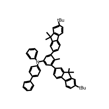 Cc1c(-c2ccc3c(c2)C(C)(C)c2cc(C(C)(C)C)ccc2-3)cc(N(c2ccccc2)c2ccc(-c3ccccc3)cc2)cc1-c1ccc2c(c1)C(C)(C)c1cc(C(C)(C)C)ccc1-2